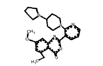 CCc1cc(OC)cc2nc(-c3cccnc3N3CCC(N4CCCC4)CC3)oc(=O)c12